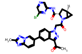 CC(=O)c1nn(CC(=O)N2C3C[C@@H]3C[C@H]2C(=O)Nc2cncc(Br)n2)c2ccc(-c3ccc4nc(C)nn4c3)cc12